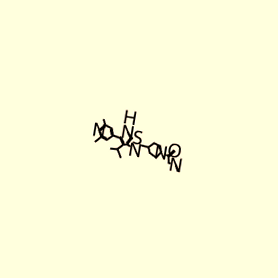 Cc1cc(-c2[nH]c3sc(C4CCN(C(=O)CN(C)C)CC4)nc3c2C(C)C)cc(C)n1